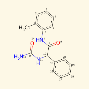 Cc1ccccc1NC(=O)C(NC(N)=O)c1ccccc1